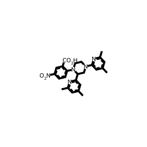 Cc1cc(C)nc(C2CN(c3cc(C)cc(C)n3)CCN2c2ccc([N+](=O)[O-])cc2C(=O)O)c1